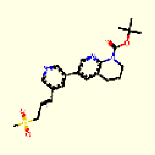 CC(C)(C)OC(=O)N1CCCc2cc(-c3cncc(/C=C/CS(C)(=O)=O)c3)cnc21